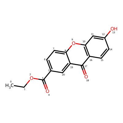 CCOC(=O)c1ccc2oc3cc(O)ccc3c(=O)c2c1